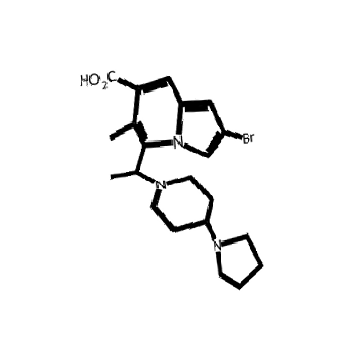 Cc1c(C(=O)O)cc2cc(Br)cn2c1C(C)N1CCC(N2CCCC2)CC1